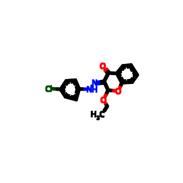 CCOC1Oc2ccccc2C(=O)/C1=N/Nc1ccc(Cl)cc1